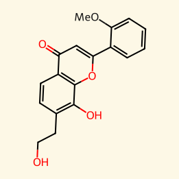 COc1ccccc1-c1cc(=O)c2ccc(CCO)c(O)c2o1